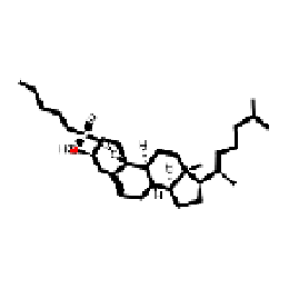 CCCCCS(=O)(=O)OC[C@]12CC[C@H](O)CC1=CC[C@@H]1[C@@H]2CC[C@]2(C)[C@@H]([C@H](C)CCCC(C)C)CC[C@@H]12